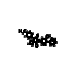 Cc1ccc(N2C(=S)N(c3cnc(-c4cccnc4)c(C(F)(F)F)c3)C(=O)C23CCC3)cc1